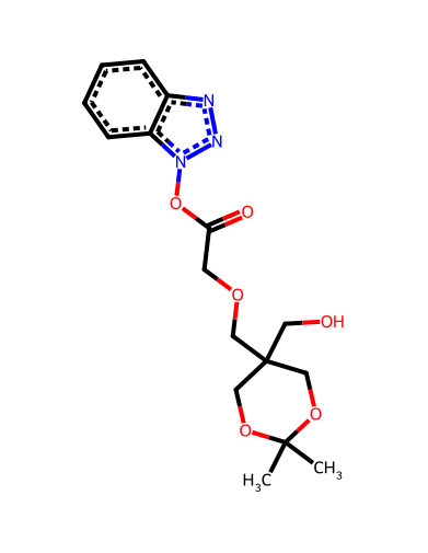 CC1(C)OCC(CO)(COCC(=O)On2nnc3ccccc32)CO1